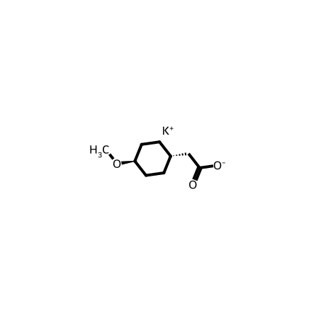 CO[C@H]1CC[C@H](CC(=O)[O-])CC1.[K+]